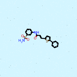 NS(=O)(=O)c1cccc(NC(=O)/C=C/c2ccc(-c3ccccc3)s2)c1